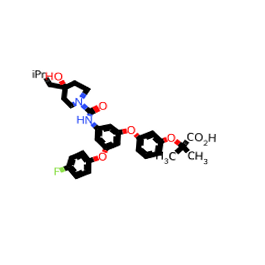 CC(C)CC1(O)CCN(C(=O)Nc2cc(Oc3ccc(F)cc3)cc(Oc3cccc(OC(C)(C)C(=O)O)c3)c2)CC1